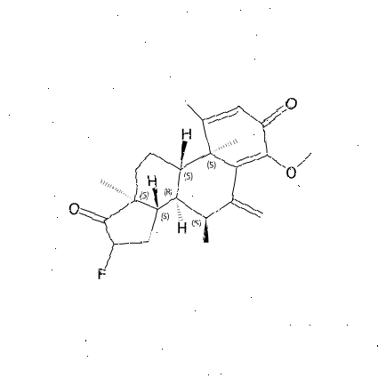 C=C1C2=C(OC)C(=O)C=C(C)[C@]2(C)[C@H]2CC[C@]3(C)C(=O)C(F)C[C@H]3[C@@H]2[C@@H]1C